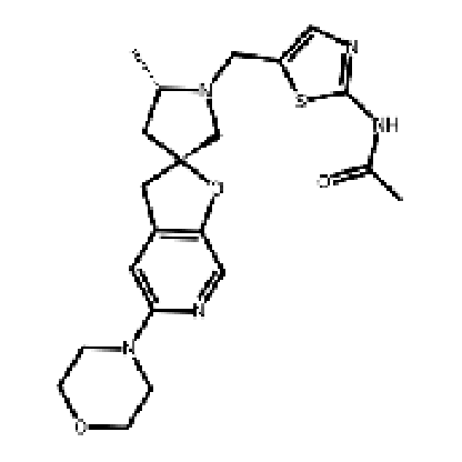 CC(=O)Nc1ncc(CN2C[C@@]3(Cc4cc(N5CCOCC5)ncc4O3)C[C@@H]2C)s1